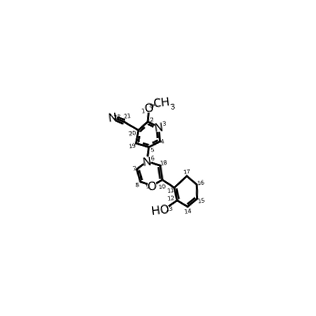 COc1ncc(N2C=COC(C3=C(O)C=CCC3)=C2)cc1C#N